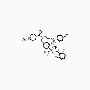 CC(=O)N1CCC(C(=O)N(CCC[S@@+]([O-])c2ccc(F)cc2)Cc2ccc(C(OCc3c(F)cccc3F)(C(F)(F)F)C(F)(F)F)cc2)CC1